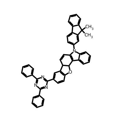 CC1(C)c2ccccc2-c2ccc(-n3c4c(c5ccccc53)C3Oc5ccc(-c6nc(-c7ccccc7)nc(-c7ccccc7)n6)cc5C3C=C4)cc21